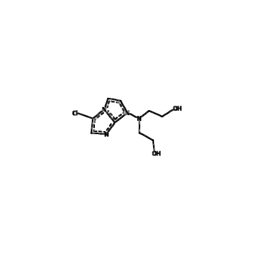 OCCN(CCO)n1ccn2c(Cl)cnc12